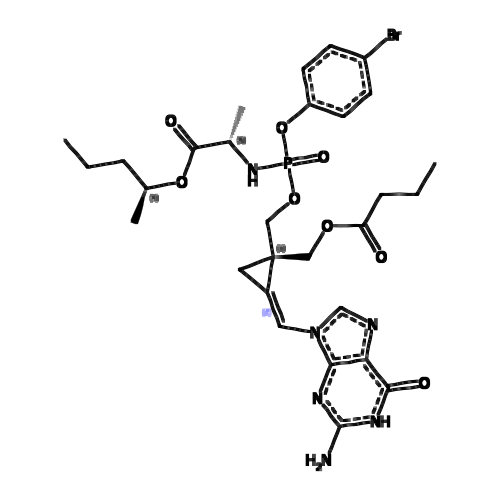 CCCC(=O)OC[C@]1(COP(=O)(N[C@@H](C)C(=O)O[C@@H](C)CCC)Oc2ccc(Br)cc2)C/C1=C/n1cnc2c(=O)[nH]c(N)nc21